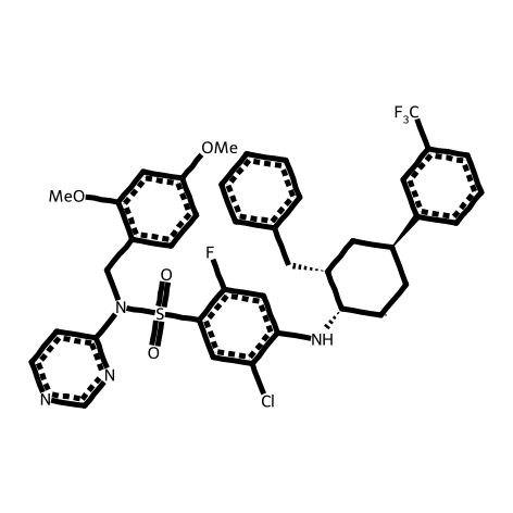 COc1ccc(CN(c2ccncn2)S(=O)(=O)c2cc(Cl)c(N[C@H]3[CH]C[C@H](c4cccc(C(F)(F)F)c4)C[C@H]3Cc3ccccc3)cc2F)c(OC)c1